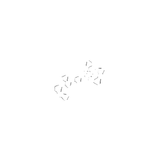 c1ccc(-c2nc(-c3ccc(-c4ccc(-c5cccc6oc7ccccc7c56)c5ccccc45)cc3)nc(-c3cccc4oc5cccnc5c34)n2)cc1